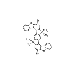 CC1(C)c2cc3c(cc2-c2c1cc(Br)c1oc4ccccc4c21)C(C)(C)c1cc(Br)c2oc4ccccc4c2c1-3